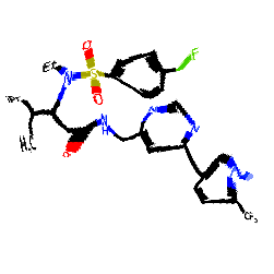 CCN(C(C(=O)NCc1cc(-c2ccc(C(F)(F)F)nc2)ncn1)C(C)C(C)C)S(=O)(=O)c1ccc(F)cc1